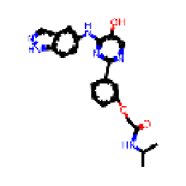 CC(C)NC(=O)COc1cccc(-c2ncc(O)c(Nc3ccc4[nH]ncc4c3)n2)c1